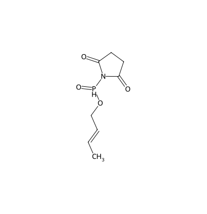 C/C=C/CO[PH](=O)N1C(=O)CCC1=O